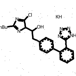 CCCCC1=NC(C(O)Cc2ccc(-c3ccccc3-c3nnn[nH]3)cc2)C(Cl)=N1.[KH]